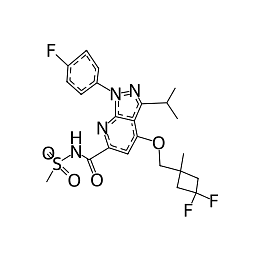 CC(C)c1nn(-c2ccc(F)cc2)c2nc(C(=O)NS(C)(=O)=O)cc(OCC3(C)CC(F)(F)C3)c12